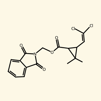 CC1(C)C(C=C(Cl)Cl)C1C(=O)OCN1C(=O)c2ccccc2C1=O